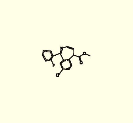 COC(=O)C1C=CN=C(c2ccccc2F)c2cc(Cl)ccc21